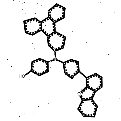 Oc1ccc(N(c2ccc(-c3cccc4c3oc3ccccc34)cc2)c2ccc3c4ccccc4c4ccccc4c3c2)cc1